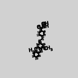 C[C@@H]1CN(CCc2ccc(C(=O)NO)cc2)C[C@H](C)N1Cc1ccccc1